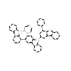 C1=CCC(n2c3ccccc3c3cccc(-c4ccc5c(c4)c4ccccc4n5-c4cc(-c5ccccc5)c5sc6ccccc6c5c4)c32)C=C1